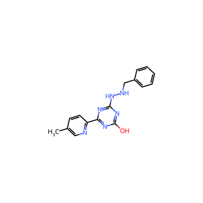 Cc1ccc(-c2nc(O)nc(NNCc3ccccc3)n2)nc1